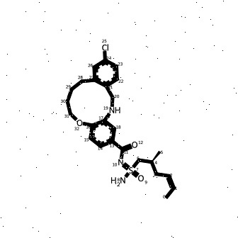 C/C=C\C[C@H](C)CS(N)(=O)=NC(=O)c1ccc2c(c1)NCc1ccc(Cl)cc1CCCCO2